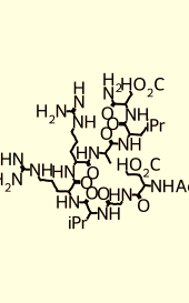 CC(=O)NC(CCC(=O)O)C(=O)NCC(=O)NC(C(=O)NC(CCCNC(=N)N)C(=O)NC(CCCNC(=N)N)C(=O)NC(C)C(=O)NC(CC(C)C)C(=O)NC(CC(=O)O)C(N)=O)C(C)C